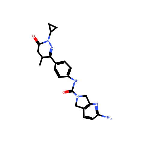 CC1CC(=O)N(C2CC2)N=C1c1ccc(NC(=O)N2Cc3ccc(N)nc3C2)cc1